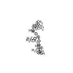 COC(=O)N[C@H](C(=O)N1CCC[C@H]1c1cc(-c2ccc([C@@H]3CC[C@H](c4ccc(-c5cc([C@@H]6CCCN6C(=O)[C@@H](NC(=O)O)C(C)C)[nH]n5)cc4)N3c3ccc(C(C)(C)C)cc3)cc2)n[nH]1)C(C)C